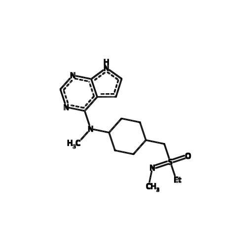 CCS(=O)(CC1CCC(N(C)c2ncnc3[nH]ccc23)CC1)=NC